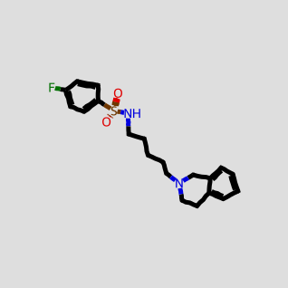 O=S(=O)(NCCCCCN1CCc2ccccc2C1)c1ccc(F)cc1